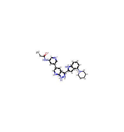 CC(C)CC(=O)Nc1cncc(-c2cnc3[nH]nc(-c4cc5c(N6CCCCC6)cccc5[nH]4)c3c2)c1